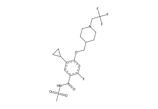 CS(=O)(=O)NC(=O)c1cc(C2CC2)c(OCC2CCN(CC(F)(F)F)CC2)cc1F